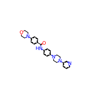 O=C(Nc1ccc(N2CCN(c3cccnc3)CC2)cc1)c1ccc(N2CCOCC2)cc1